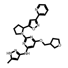 Cc1cc(Nc2cc(OCC3CCOC3)nc(N3CCCC3c3cc(-c4ccccn4)no3)n2)n[nH]1